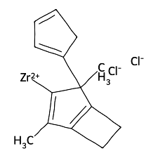 CC1=[C]([Zr+2])C(C)(C2=CC=CC2)C2=C1CC2.[Cl-].[Cl-]